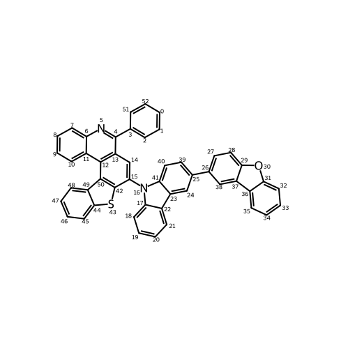 c1ccc(-c2nc3ccccc3c3c2cc(-n2c4ccccc4c4cc(-c5ccc6oc7ccccc7c6c5)ccc42)c2sc4ccccc4c23)cc1